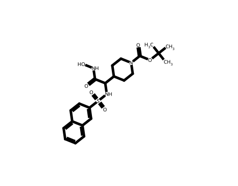 CC(C)(C)OC(=O)N1CCC(C(NS(=O)(=O)c2ccc3ccccc3c2)C(=O)NO)CC1